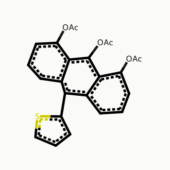 CC(=O)Oc1cccc2c(-c3cccs3)c3cccc(OC(C)=O)c3c(OC(C)=O)c12